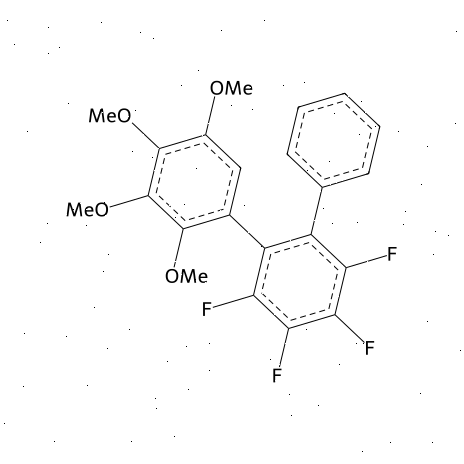 COc1cc(-c2c(F)c(F)c(F)c(F)c2-c2ccccc2)c(OC)c(OC)c1OC